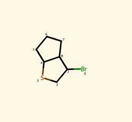 BrC1CSC2CCCC12